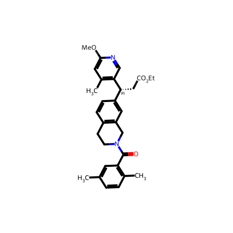 CCOC(=O)C[C@H](c1ccc2c(c1)CN(C(=O)c1cc(C)ccc1C)CC2)c1cnc(OC)cc1C